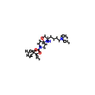 CN(C)CCCCC1COC2(CCN(C(=O)OC(C)(C)C)CC2)N1